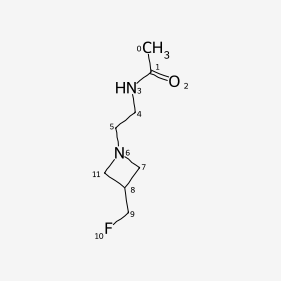 CC(=O)NCCN1CC(CF)C1